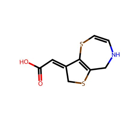 O=C(O)/C=C1\CSC2=C1SC=CNC2